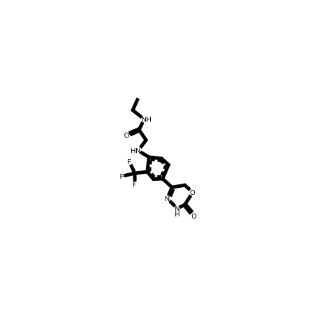 CCNC(=O)CNc1ccc(C2=NNC(=O)OC2)cc1C(F)(F)F